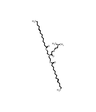 CCCC/C=C/CCCCCCCC(=O)OCCN(CCOC(=O)CCCCCCC/C=C/CCCC)C(=O)CSCCN(C)C